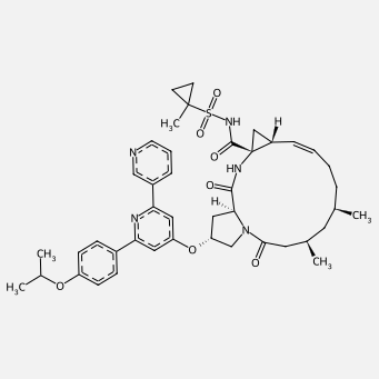 CC(C)Oc1ccc(-c2cc(O[C@@H]3C[C@H]4C(=O)N[C@]5(C(=O)NS(=O)(=O)C6(C)CC6)C[C@@H]5/C=C\CC[C@@H](C)C[C@@H](C)CC(=O)N4C3)cc(-c3cccnc3)n2)cc1